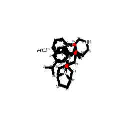 Cc1nc2ccccc2n1C1CC2CCC(C1)N2CCC1(c2cccc(C(C)C)c2)CCNCC1.Cl